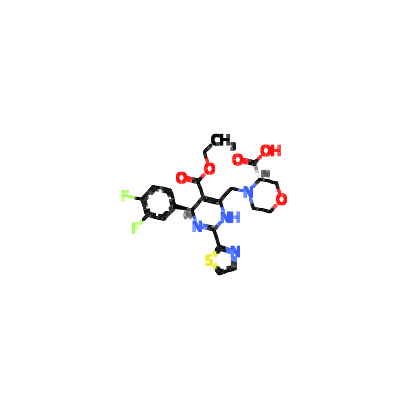 CCOC(=O)C1=C(CN2CCOC[C@H]2C(=O)O)NC(c2nccs2)=N[C@H]1c1ccc(F)c(F)c1